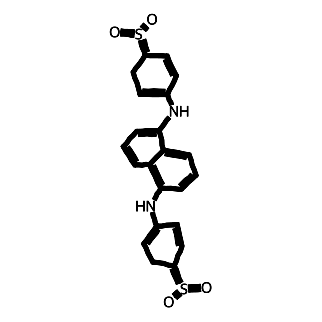 O=S(=O)=C1C=CC(Nc2cccc3c(NC4=CCC(=S(=O)=O)C=C4)cccc23)=CC1